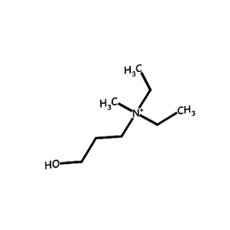 CC[N+](C)(CC)CCCO